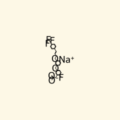 O=C([O-])Cc1cc(Oc2cccc(OC/C=C/c3ccc(C(F)(F)F)cc3)c2)ccc1F.[Na+]